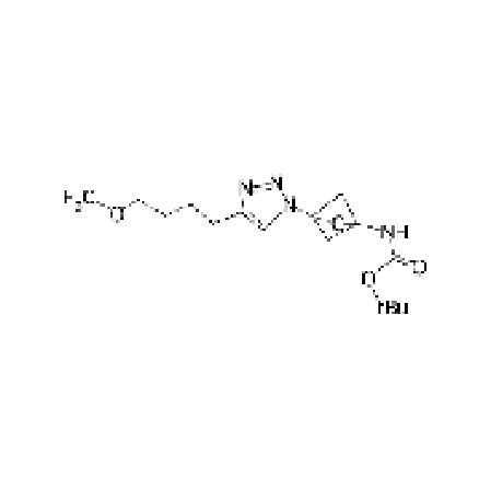 CC(C)(C)OC(=O)NC12CC(n3cc(CCCCOC(F)(F)F)nn3)(C1)C2